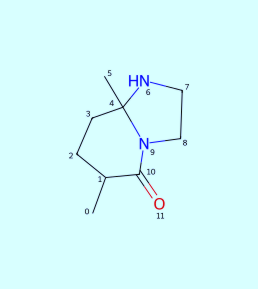 CC1CCC2(C)NCCN2C1=O